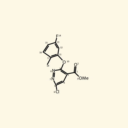 COC(=O)c1cc(Cl)nnc1Oc1cc(F)ccc1C